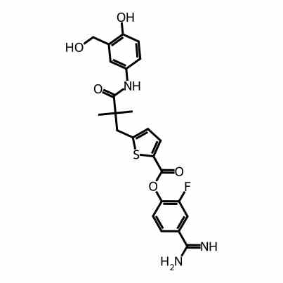 CC(C)(Cc1ccc(C(=O)Oc2ccc(C(=N)N)cc2F)s1)C(=O)Nc1ccc(O)c(CO)c1